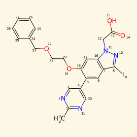 Cc1ncc(-c2cc3c(I)nn(CC(=O)O)c3cc2OCCOCc2ccccc2)cn1